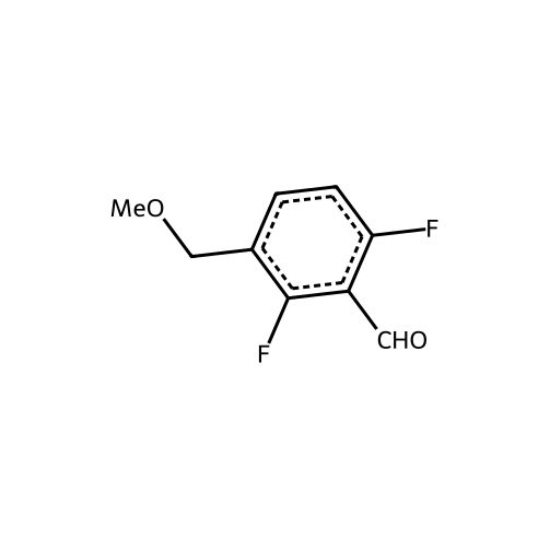 COCc1ccc(F)c(C=O)c1F